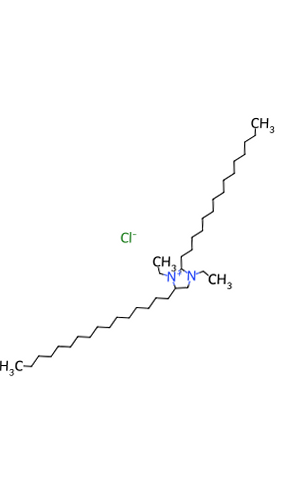 CCCCCCCCCCCCCCCCC1CN(CC)C(CCCCCCCCCCCCCCC)=[N+]1CC.[Cl-]